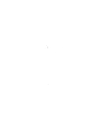 CCC1C=C(C)C=[C]1[Zr+2].[Cl-].[Cl-]